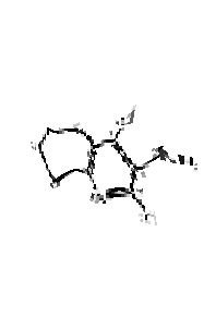 Nc1c(Cl)nc2c(c1Cl)CCCC2